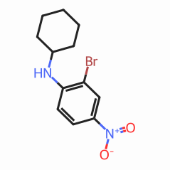 O=[N+]([O-])c1ccc(NC2CCCCC2)c(Br)c1